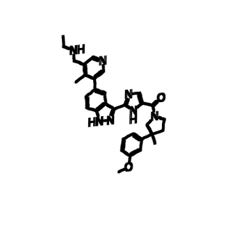 CCNCc1cncc(-c2ccc3[nH]nc(-c4ncc(C(=O)N5CCC(C)(c6cccc(OC)c6)C5)[nH]4)c3c2)c1C